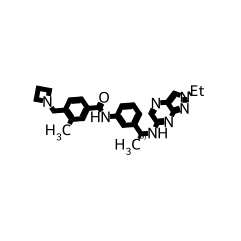 CCn1cc2ncc(N[C@@H](C)c3cccc(NC(=O)c4ccc(CN5CCC5)c(C)c4)c3)nc2n1